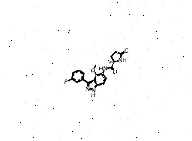 COc1c(NC(=O)[C@H]2CCC(=O)N2)ccc2[nH]nc(-c3cccc(F)c3)c12